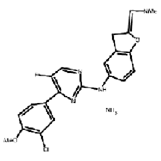 CNC=C1Cc2cc(Nc3ncc(F)c(-c4ccc(OC)c(Cl)c4)n3)ccc2O1.N